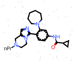 CCCN1CCn2c(cnc2-c2ccc(NC(=O)C3CC3)cc2N2CCCCCC2)C1